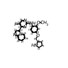 COc1cc(OC[C@H]2CCCN2)ccc1Nc1ncc(F)c(-c2cnc3ccccn23)n1